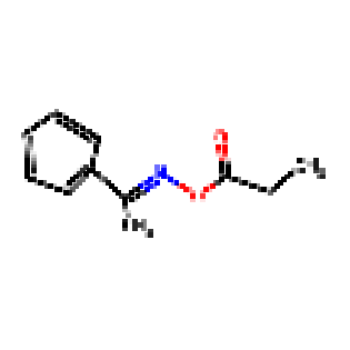 CCC(=O)ON=C(C)c1ccccc1